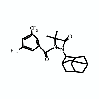 CC1(C)C(=O)N(C2C3CC4CC(C3)CC2C4)N1C(=O)c1cc(C(F)(F)F)cc(C(F)(F)F)c1